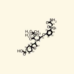 CC(C)(C)OC(=O)N(CC(O)COc1cccc(S(=O)(=O)CC(N)=O)c1)C1COC2(CCN(C(=O)O)CC2)C1